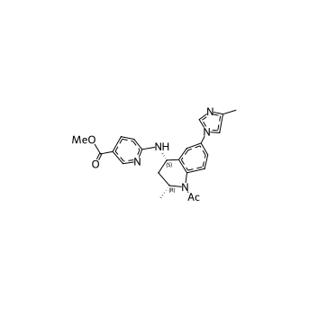 COC(=O)c1ccc(N[C@H]2C[C@@H](C)N(C(C)=O)c3ccc(-n4cnc(C)c4)cc32)nc1